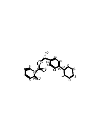 C[C@@H](OC(=O)n1ccccc1=O)c1ccc(C2CCCCC2)cc1